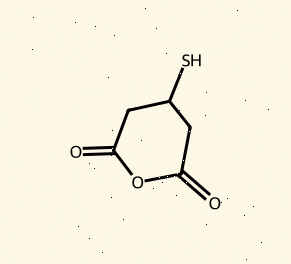 O=C1CC(S)CC(=O)O1